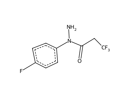 NN(C(=O)CC(F)(F)F)c1ccc(F)cc1